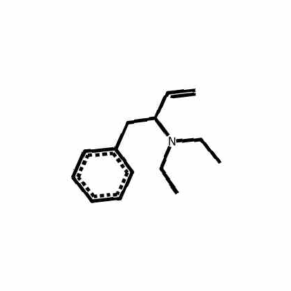 C=CC(Cc1ccccc1)N(CC)CC